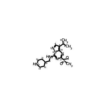 CC(C)c1cnn2c(NCC3CCNCC3)nc(S(C)(=O)=O)nc12